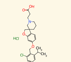 CC(C)c1cccc(Cl)c1COc1ccc2c(c1)OCC21CCCN(CCC(=O)O)C1.Cl